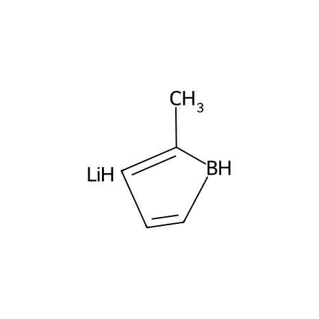 CC1=CC=CB1.[LiH]